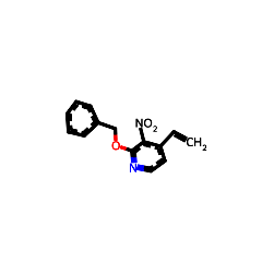 C=Cc1ccnc(OCc2ccccc2)c1[N+](=O)[O-]